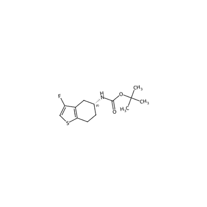 CC(C)(C)OC(=O)N[C@@H]1CCc2scc(F)c2C1